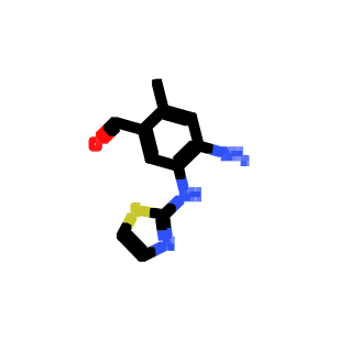 Cc1cc(N)c(Nc2nccs2)cc1C=O